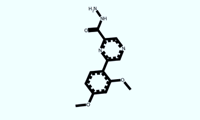 COc1ccc(-c2cncc(C(=O)NN)n2)c(OC)c1